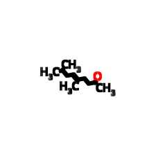 CC(=O)CC/C(C)=C/CC(C)C